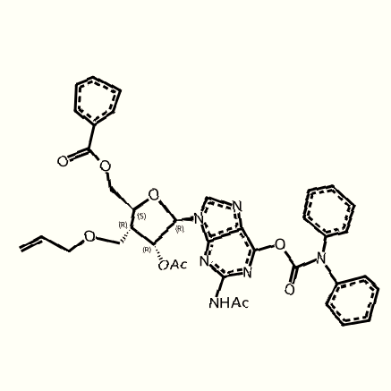 C=CCOC[C@H]1[C@@H](OC(C)=O)[C@H](n2cnc3c(OC(=O)N(c4ccccc4)c4ccccc4)nc(NC(C)=O)nc32)O[C@@H]1COC(=O)c1ccccc1